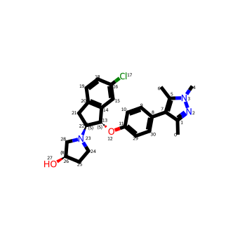 Cc1nn(C)c(C)c1-c1ccc(O[C@H]2c3cc(Cl)ccc3C[C@@H]2N2CC[C@@H](O)C2)cc1